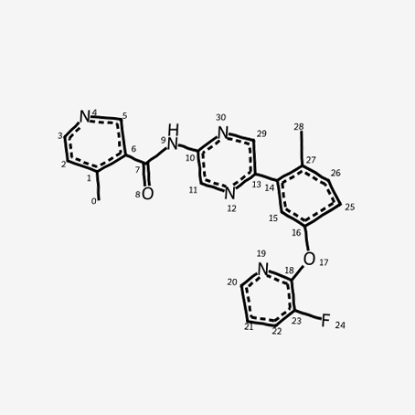 Cc1ccncc1C(=O)Nc1cnc(-c2cc(Oc3ncccc3F)ccc2C)cn1